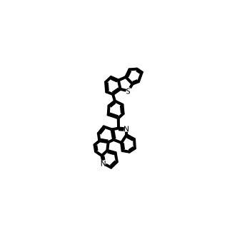 c1ccc2c(c1)nc(-c1ccc(-c3cccc4c3sc3ccccc34)cc1)c1ccc3ccc4ncccc4c3c12